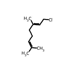 CC(C)=CCCC(C)=CCCl